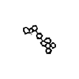 C1=Cc2sc3c(c2CC1)CCC=C3c1ccc(-c2ccc3c4c(cccc24)C2(CCCC2)c2ccccc2-3)cc1